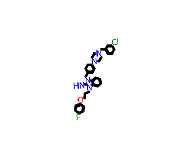 N=c1n(CCCOC2=CCC(F)C=C2)c2ccccc2n1CC1=CC=C(N2CCN(CC3=CCCC(Cl)=C3)CC2)CC1